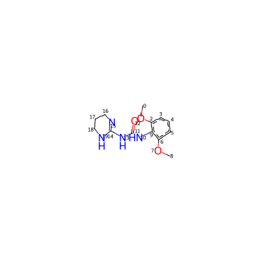 COc1cccc(OC)c1NC(=O)NC1=NCCCN1